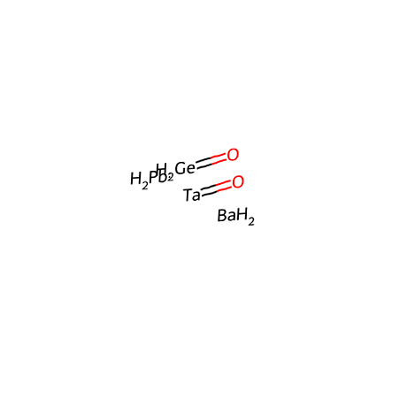 [BaH2].[O]=[GeH2].[O]=[Ta].[PbH2]